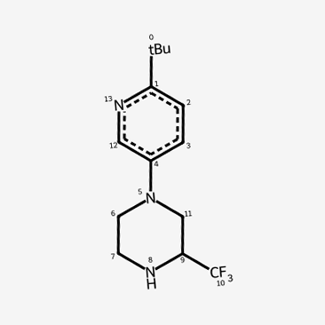 CC(C)(C)c1ccc(N2CCNC(C(F)(F)F)C2)cn1